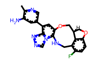 Cc1ncc(-c2cc3c(n4cnnc24)NCc2c(F)ccc4c2[C@@H](CO4)CO3)cc1N